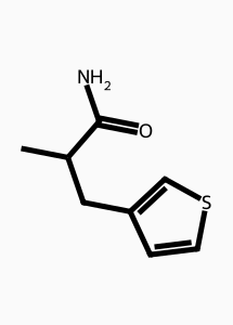 CC(Cc1ccsc1)C(N)=O